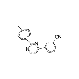 Cc1ccc(-c2nccc(-c3cccc(C#N)c3)n2)cc1